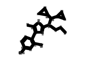 CCCN(c1nc(-c2ccc(Cl)cc2Br)c(C)s1)C(C1CC1)C1CC1